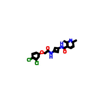 Cc1ccc(C(=O)NC23CC(NC(=O)COc4ccc(Cl)c(Cl)c4)(C2)C3)c(C)n1